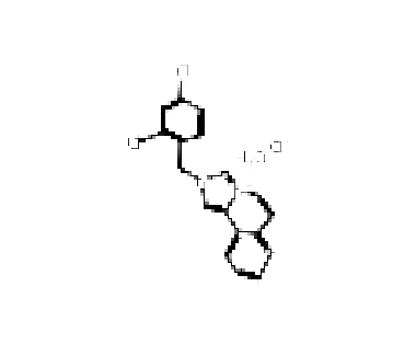 Clc1ccc(Cn2cc3c4ccccc4cc[n+]3c2)c(Cl)c1.O.[Cl-]